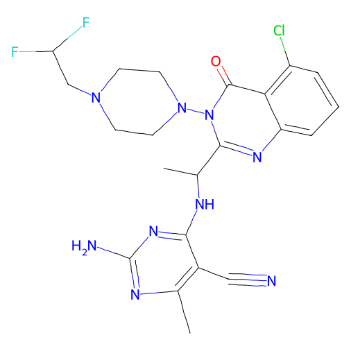 Cc1nc(N)nc(NC(C)c2nc3cccc(Cl)c3c(=O)n2N2CCN(CC(F)F)CC2)c1C#N